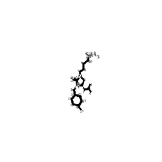 CC(C)C[C@@H]1CN(CCCC[SiH3])C(=S)N1CC1CCC(C)CC1